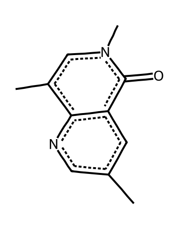 Cc1cnc2c(C)cn(C)c(=O)c2c1